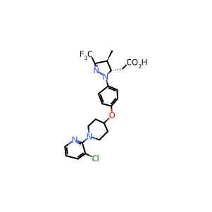 C[C@@H]1C(C(F)(F)F)=NN(c2ccc(OC3CCN(c4ncccc4Cl)CC3)cc2)[C@H]1CC(=O)O